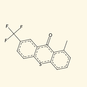 Cc1cccc2sc3ccc(C(F)(F)F)cc3c(=O)c12